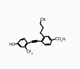 N#CCCCc1cc(C(=O)O)ccc1C#Cc1ccc(O)cc1C(F)(F)F